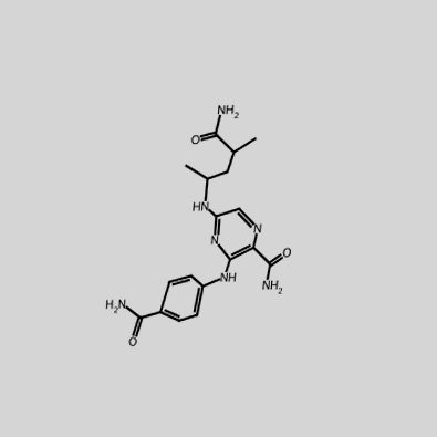 CC(CC(C)C(N)=O)Nc1cnc(C(N)=O)c(Nc2ccc(C(N)=O)cc2)n1